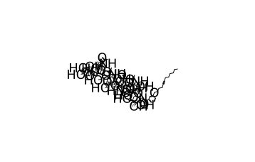 CCCCCCC#CCCCOc1cccc(C(=O)N[C@@H]2C(O[C@H]3C(O)C(NC(C)=O)[C@H](OC4C(CO)O[C@@H](O[C@H]5C(O)C(NC(C)=O)C(OC(CO)C(CO[C@@H]6OC(C)C(O)[C@H](O)[C@H]6O)OC(O)[C@H](C)NC(C)=O)O[C@H]5CO)[C@@H](NC(C)=O)[C@H]4O)O[C@H]3CO)OC(CO)[C@@H](O)C2O)c1